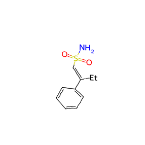 CCC(=CS(N)(=O)=O)c1ccccc1